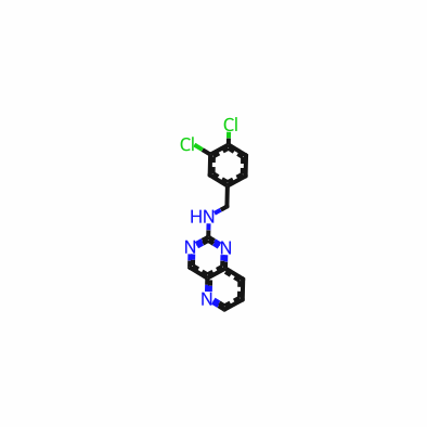 Clc1ccc(CNc2ncc3ncccc3n2)cc1Cl